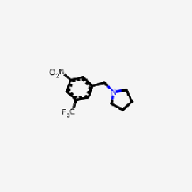 O=[N+]([O-])c1cc(CN2CCCC2)cc(C(F)(F)F)c1